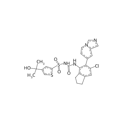 CC(C)(O)c1csc(S(=O)(=O)NC(=O)Nc2c3c(cc(Cl)c2-c2ccn4cncc4c2)CCC3)c1